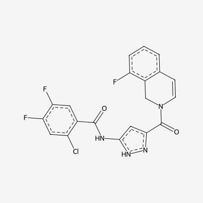 O=C(Nc1cc(C(=O)N2C=Cc3cccc(F)c3C2)n[nH]1)c1cc(F)c(F)cc1Cl